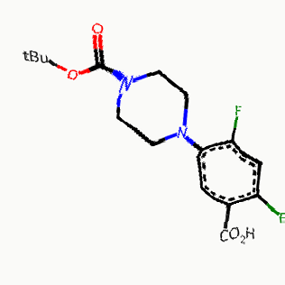 CC(C)(C)OC(=O)N1CCN(c2cc(C(=O)O)c(F)cc2F)CC1